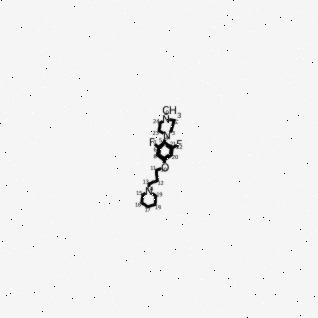 CN1CCN(c2c(F)cc(OCCCN3CCCCC3)cc2F)CC1